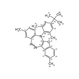 Cc1ccc2c(c1)N=Nc1c(oc3ccc(C)cc13)N2c1c(C)cc(C(C)(C)C)cc1C